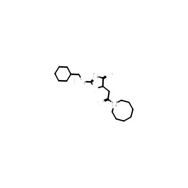 O=C1N=C(NCC2CCCCC2)SC1CC(=O)N1CCCCCCC1